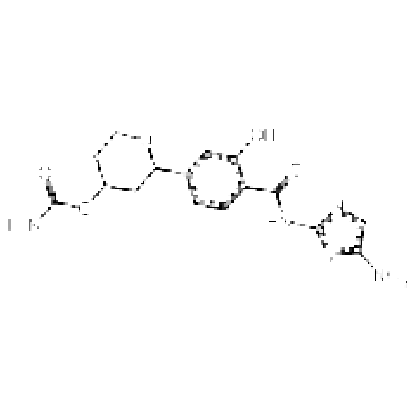 NC(=O)OC1CCOC(c2ccc(C(=O)Nc3ncc([N+](=O)[O-])s3)c(O)c2)C1